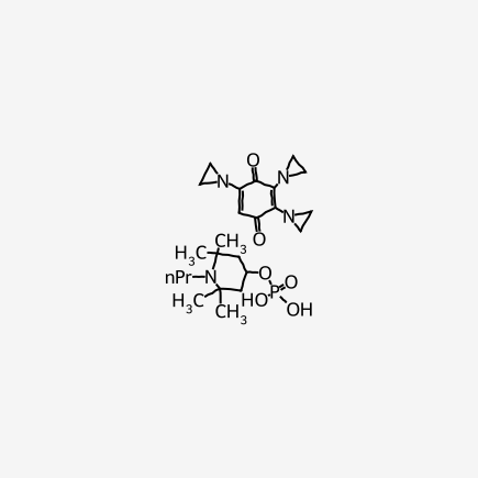 CCCN1C(C)(C)CC(OP(=O)(O)O)CC1(C)C.O=C1C=C(N2CC2)C(=O)C(N2CC2)=C1N1CC1